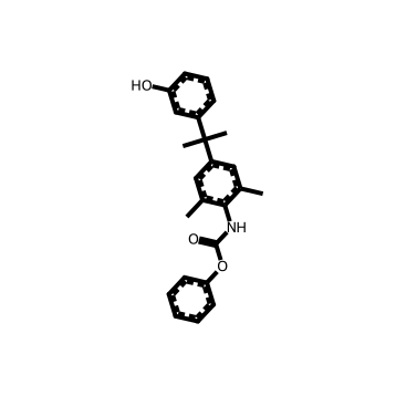 Cc1cc(C(C)(C)c2cccc(O)c2)cc(C)c1NC(=O)Oc1ccccc1